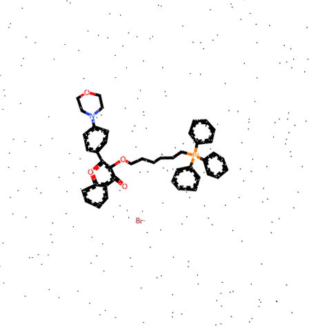 O=c1c(OCCCCCC[P+](c2ccccc2)(c2ccccc2)c2ccccc2)c(-c2ccc(N3CCOCC3)cc2)oc2ccccc12.[Br-]